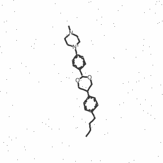 CCCCc1ccc(C2COC(c3ccc([N+]4CCN(C)CC4)cc3)OC2)cc1